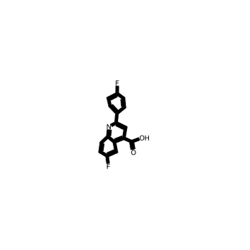 O=C(O)c1cc(-c2ccc(F)cc2)nc2ccc(F)cc12